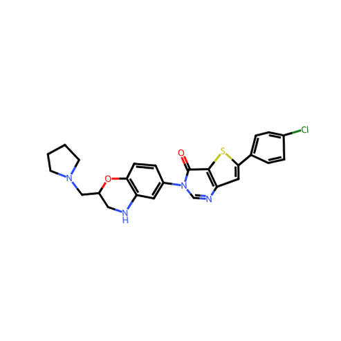 O=c1c2sc(-c3ccc(Cl)cc3)cc2ncn1-c1ccc2c(c1)NCC(CN1CCCC1)O2